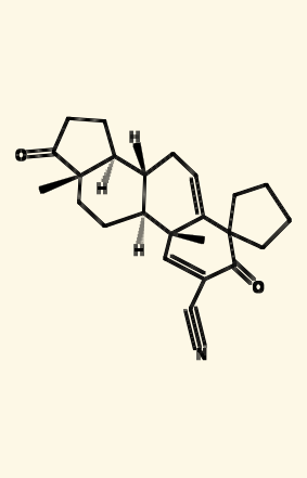 C[C@]12C=C(C#N)C(=O)C3(CCCC3)C1=CC[C@@H]1[C@@H]2CC[C@]2(C)C(=O)CC[C@@H]12